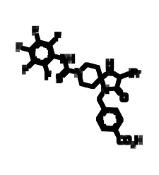 CC(C)C1NC2(CCN(C(=S)Nc3c(F)c(F)c(F)c(F)c3F)CC2)N(Cc2ccc(C(=O)O)cc2)C1=O